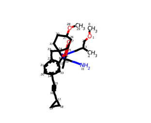 COCC(C)N1C(=O)C2(N=C1N)c1cc(C#CC3CC3)ccc1CC21CCC(OC)CC1